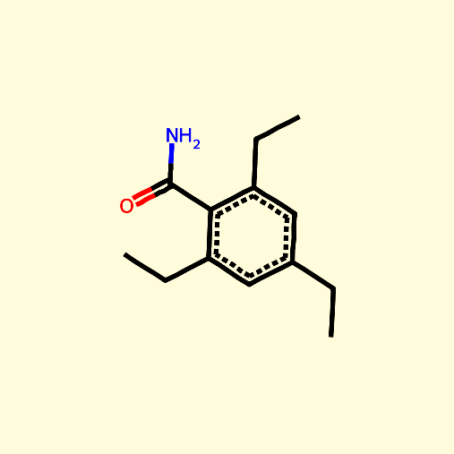 CCc1cc(CC)c(C(N)=O)c(CC)c1